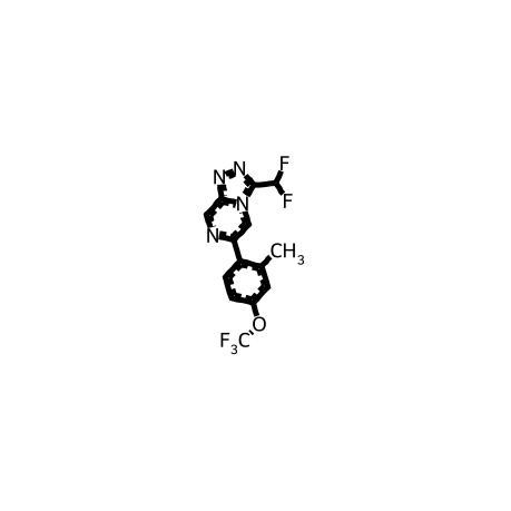 Cc1cc(OC(F)(F)F)ccc1-c1cn2c(C(F)F)nnc2cn1